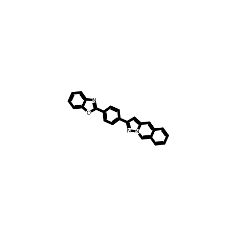 c1ccc2cn3nc(-c4ccc(-c5nc6ccccc6o5)cc4)cc3cc2c1